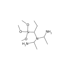 CCC(N(C(C)N)C(C)N)[Si](OC)(OC)OC